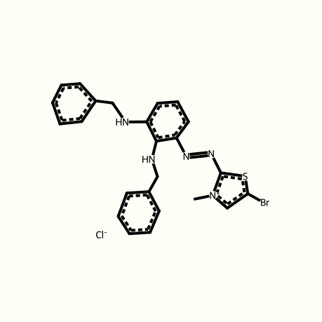 C[n+]1cc(Br)sc1N=Nc1cccc(NCc2ccccc2)c1NCc1ccccc1.[Cl-]